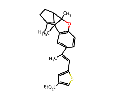 CCOC(=O)c1csc(C=C(C)c2ccc3c(c2)C2(C)C4(C)CCC(C4)C2(C)O3)c1